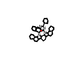 c1ccc(-c2nc(-c3ccccc3)nc(-n3c4c(c5ccc6ccccc6c53)CCc3c-4n(-c4ccccc4)c4c3ccc3ccccc34)n2)cc1